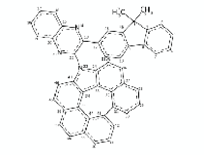 CC1(C)c2ccccc2-c2ccc(-c3nc4ccccc4nc3-n3c4ccc5cccc6c5c4c4c5c(ccc7cccc-6c75)ccc43)cc21